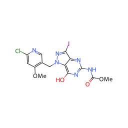 COC(=O)Nc1nc(O)c2c(n1)c(I)nn2Cc1cnc(Cl)cc1OC